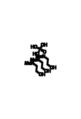 CNCCO.CNCCO.CNCCO.O=P(O)(O)O